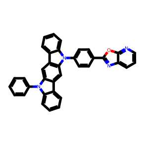 c1ccc(-n2c3ccccc3c3cc4c(cc32)c2ccccc2n4-c2ccc(-c3nc4cccnc4o3)cc2)cc1